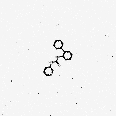 O=C(Nc1ccccc1)Nc1ccccc1-c1ccccc1